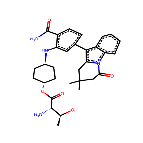 C[C@H](O)[C@H](N)C(=O)O[C@H]1CC[C@H](Nc2cc(-c3c4n(c5ccccc35)C(=O)CC(C)(C)C4)ccc2C(N)=O)CC1